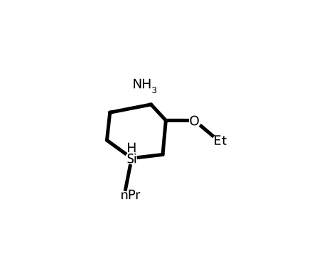 CCC[SiH]1CCCC(OCC)C1.N